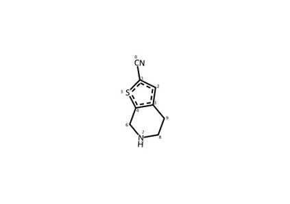 N#Cc1cc2c(s1)CNCC2